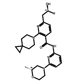 C[C@@H]1CN(c2cccc(NC(=O)c3ccc(C[C@@H](O)F)nc3N3CCC4(CC3)CC4)n2)CCO1